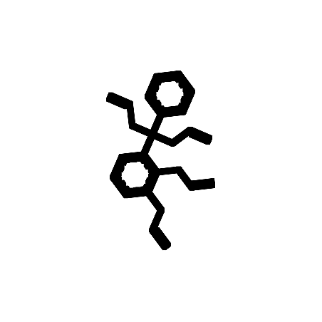 C=CCc1cccc(C(CC=C)(CC=C)c2ccccc2)c1CC=C